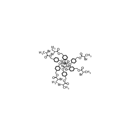 CC(Br)C(=O)OCc1ccc(OP2(Oc3ccc(COC(=O)C(C)Br)cc3)=N[PH](Oc3ccc(COC(=O)C(C)Br)cc3)(Oc3ccc(COC(=O)C(C)Br)cc3)N[PH](Oc3ccc(COC(=O)C(C)Br)cc3)(Oc3ccc(COC(=O)C(C)Br)cc3)N2)cc1